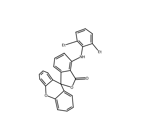 CCc1cccc(CC)c1Nc1cccc2c1C(=O)OC21c2ccccc2Oc2ccccc21